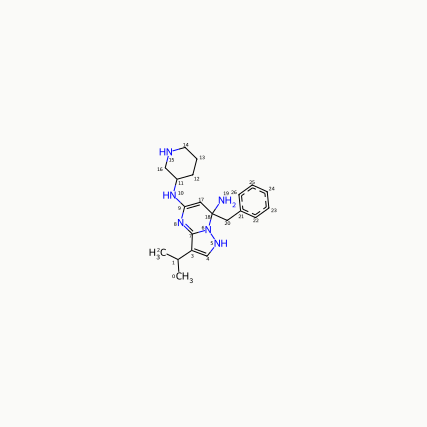 CC(C)C1=CNN2C1=NC(NC1CCCNC1)=CC2(N)Cc1ccccc1